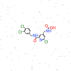 O=C(O)NCc1cc(Cl)nc(C(=O)NCc2ccc(Cl)c(Cl)c2)c1